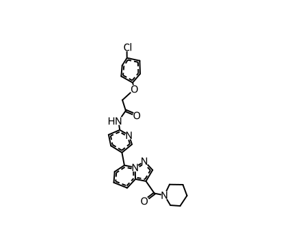 O=C(COc1ccc(Cl)cc1)Nc1ccc(-c2cccc3c(C(=O)N4CCCCC4)cnn23)cn1